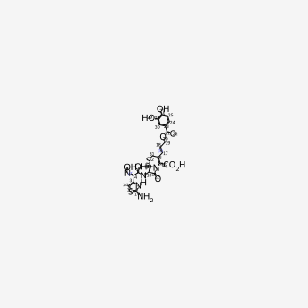 Nc1nc(/C(=N/O)C(=O)NC2C(=O)N3C(C(=O)O)=C(/C=C/COC(=O)c4ccc(O)c(O)c4)CS[C@H]23)cs1